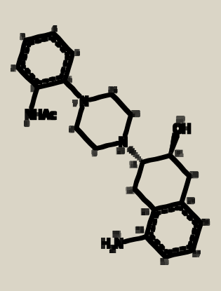 CC(=O)Nc1ccccc1N1CCN([C@H]2Cc3c(N)cccc3C[C@@H]2O)CC1